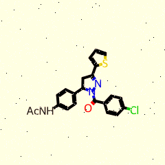 CC(=O)Nc1ccc(C2CC(c3cccs3)=NN2C(=O)c2ccc(Cl)cc2)cc1